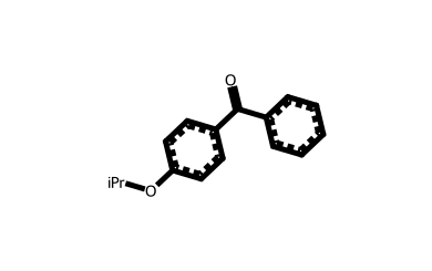 CC(C)Oc1ccc(C(=O)c2ccccc2)cc1